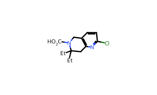 CCC1(CC)Cc2nc(Cl)ccc2CN1C(=O)O